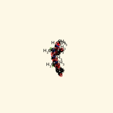 C[C@@H](OC(=O)C1(N(C)C(=O)OC(C)(C)C)CC1)C(=O)N(C)[C@@H](CC(C)(C)F)C(=O)O[C@H](Cc1ccc(C2CCOCC2)cc1)C(=O)N(C)C1(C(=O)O[C@H](C)C(=O)N(C)[C@@H](CC(C)(C)F)C(=O)O[C@H](Cc2ccc(C3=CCOCC3)cc2)C(=O)OCc2ccccc2)CC1